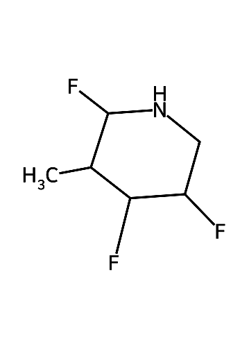 CC1C(F)NCC(F)C1F